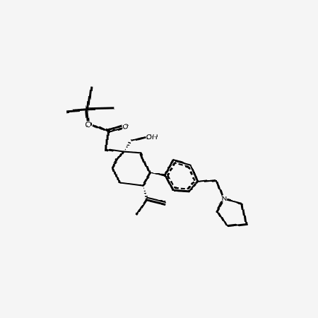 C=C(C)[C@@H]1CC[C@@](CO)(CC(=O)OC(C)(C)C)C[C@H]1c1ccc(CN2CCCC2)cc1